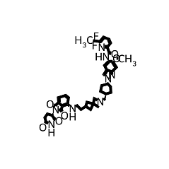 COc1cc2nn([C@H]3CC[C@H](CN4CC5(CC(CCNc6cccc7c6C(=O)N([C@@H]6CCC(=O)NC6=O)C7=O)C5)C4)CC3)cc2cc1NC(=O)c1cccc(C(C)(F)F)n1